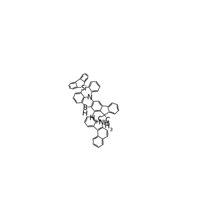 CC1(C)c2ccccc2-c2cc3c(c(-c4cccc5c4[nH]c4ccc6ccccc6c45)c21)Bc1cccc2c1N3c1ccccc1[Si]21c2ccccc2-c2ccccc21